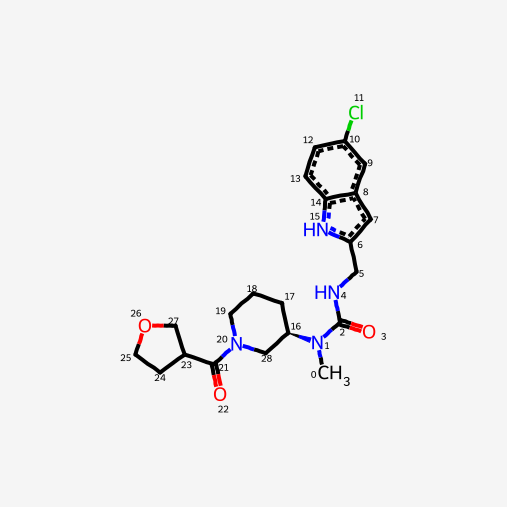 CN(C(=O)NCc1cc2cc(Cl)ccc2[nH]1)[C@@H]1CCCN(C(=O)C2CCOC2)C1